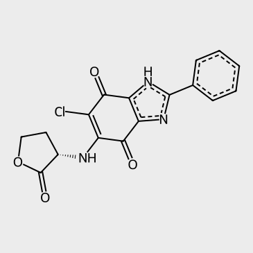 O=C1C(N[C@H]2CCOC2=O)=C(Cl)C(=O)c2[nH]c(-c3ccccc3)nc21